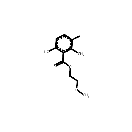 COCCOC(=S)c1c(C)ccc(I)c1C